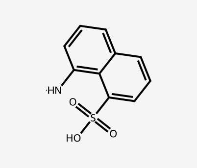 [NH]c1cccc2cccc(S(=O)(=O)O)c12